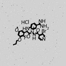 CCCOc1cc(OC)cc(C(Nc2ccc(C(=N)N)cc2)C(=O)NNC(=O)c2ccncc2Br)c1F.Cl